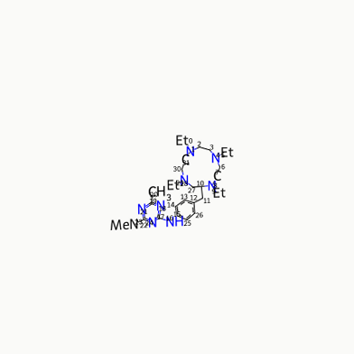 CCN1CCN(CC)CCN(CC)C(Cc2ccc(Nc3nc(C)nc(NC)n3)cc2)CN(CC)CC1